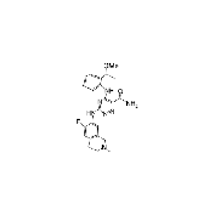 COC(C)c1ccccc1Nc1nc(Nc2cc3c(cc2F)CCN(C)C3)nnc1C(N)=O